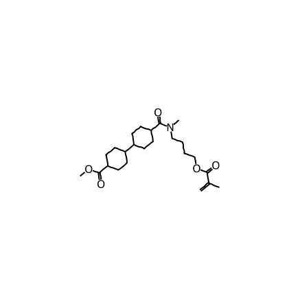 C=C(C)C(=O)OCCCCN(C)C(=O)C1CCC(C2CCC(C(=O)OC)CC2)CC1